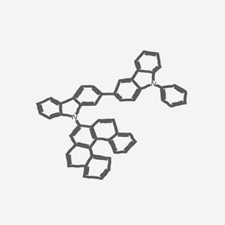 c1ccc(-n2c3ccccc3c3cc(-c4ccc5c6ccccc6n(-c6cc7ccc8ccccc8c7c7c6ccc6ccccc67)c5c4)ccc32)cc1